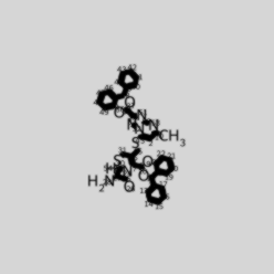 Cc1cc(SCC2=C(C(=O)OC(c3ccccc3)c3ccccc3)N3C(=O)[C@@H](N)[C@H]3SC2)n2nc(C(=O)OC(c3ccccc3)c3ccccc3)nc2n1